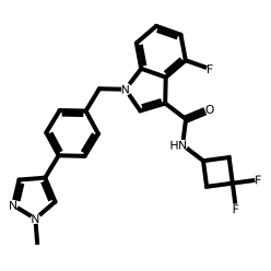 Cn1cc(-c2ccc(Cn3cc(C(=O)NC4CC(F)(F)C4)c4c(F)cccc43)cc2)cn1